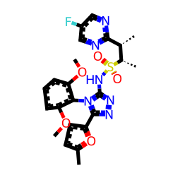 COc1cccc(OC)c1-n1c(NS(=O)(=O)[C@@H](C)[C@@H](C)c2ncc(F)cn2)nnc1-c1ccc(C)o1